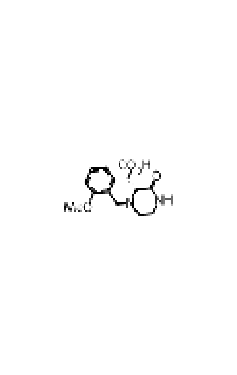 COc1ccccc1CN1CCNC(=O)[C@H]1CC(=O)O